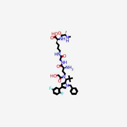 CN[C@@H](C)C(=O)N[C@@H](CCCCNC(=O)CNC(=O)[C@@H](N)CCN(C(=O)CO)[C@@H](c1cc(-c2cc(F)ccc2F)cn1Cc1ccccc1)C(C)(C)C)C(=O)O